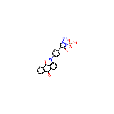 Nn1cc(-c2ccc(Nc3cccc4c3C(=O)c3ccccc3C4=O)cc2)c(=O)n1S(=O)(=O)O